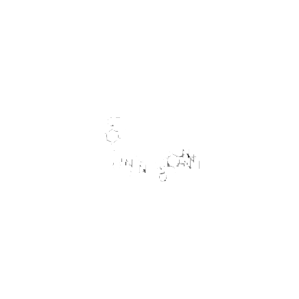 O=C(CCc1ccc(C(F)(F)F)cc1)N1CCN(CC[S@@+]([O-])c2ccc3nn[nH]c3c2)CC1